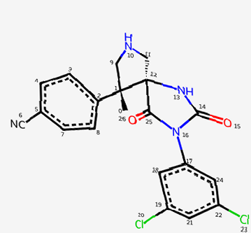 C[C@@]1(c2ccc(C#N)cc2)CNC[C@@]12NC(=O)N(c1cc(Cl)cc(Cl)c1)C2=O